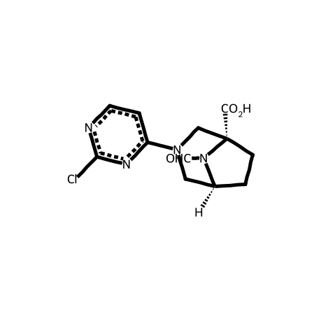 O=[C]N1[C@H]2CC[C@]1(C(=O)O)CN(c1ccnc(Cl)n1)C2